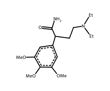 CCN(CC)CCC(C(N)=O)c1cc(OC)c(OC)c(OC)c1